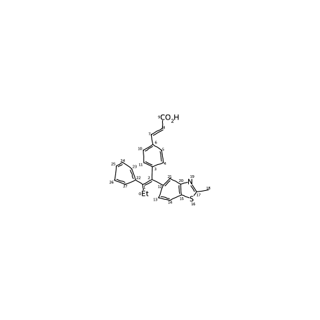 CC/C(=C(/c1ccc(/C=C/C(=O)O)cc1)c1ccc2sc(C)nc2c1)c1ccccc1